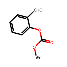 CC(C)OC(=O)Oc1ccccc1[C]=O